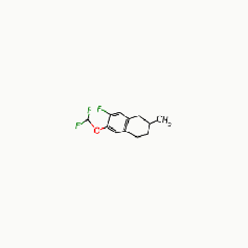 CC1CCc2cc(OC(F)F)c(F)cc2C1